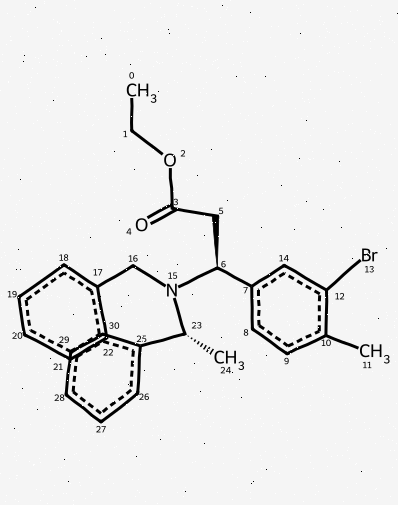 CCOC(=O)C[C@@H](c1ccc(C)c(Br)c1)N(Cc1ccccc1)[C@H](C)c1ccccc1